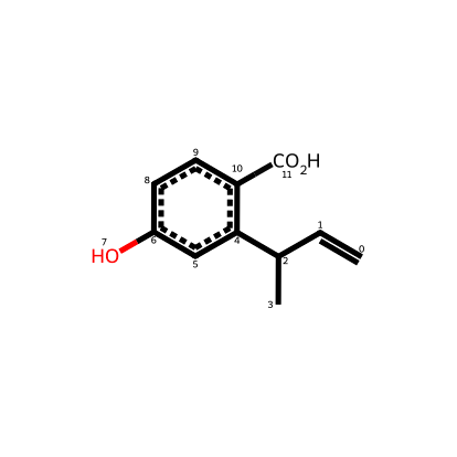 C=CC(C)c1cc(O)ccc1C(=O)O